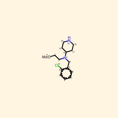 COCCN(Cc1ccccc1Cl)C1CCNCC1